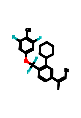 CC/C=C(/C)c1ccc(C(F)(F)Oc2cc(F)c(C#N)c(F)c2)c(C2CCCCC2)c1